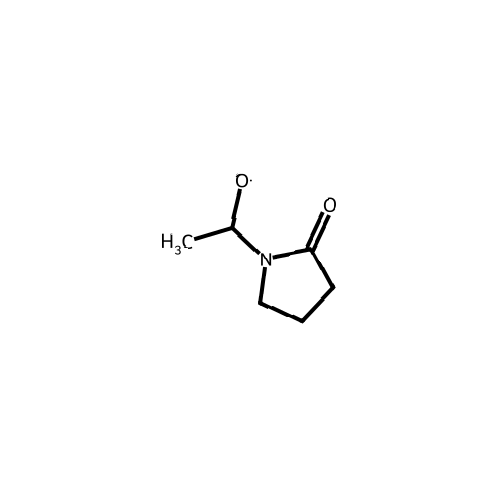 CC([O])N1CCCC1=O